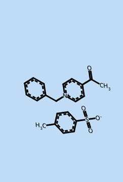 CC(=O)c1cc[n+](Cc2ccccc2)cc1.Cc1ccc(S(=O)(=O)[O-])cc1